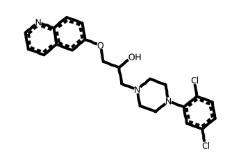 OC(COc1ccc2ncccc2c1)CN1CCN(c2cc(Cl)ccc2Cl)CC1